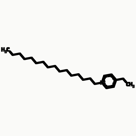 CCCCCCCCCCCCCCCC[n+]1ccc(CC)cc1